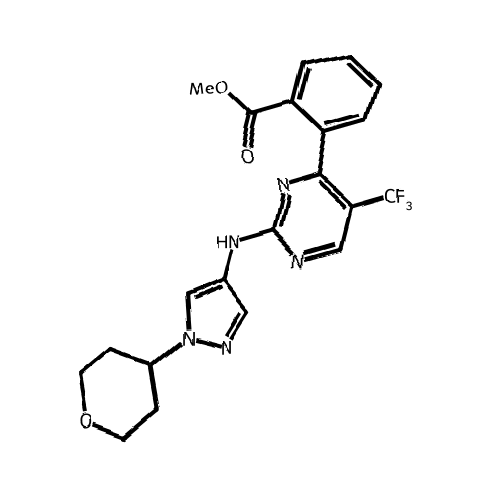 COC(=O)c1ccccc1-c1nc(Nc2cnn(C3CCOCC3)c2)ncc1C(F)(F)F